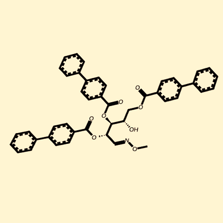 CO/N=C/[C@H](OC(=O)c1ccc(-c2ccccc2)cc1)[C@@H](OC(=O)c1ccc(-c2ccccc2)cc1)[C@@H](O)COC(=O)c1ccc(-c2ccccc2)cc1